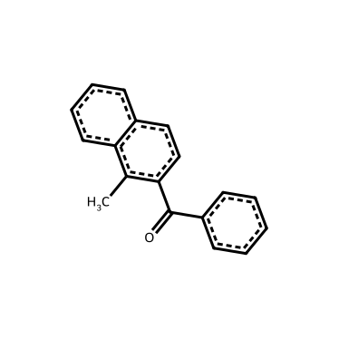 Cc1c(C(=O)c2ccccc2)ccc2ccccc12